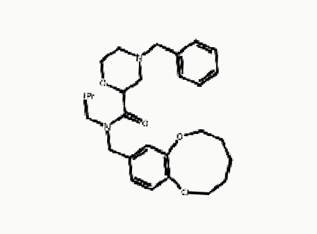 CC(C)CN(Cc1ccc2c(c1)OCCCCCO2)C(=O)C1CN(Cc2ccccc2)CCO1